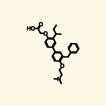 CCC(C)c1cc(-c2ccc(OCCN(C)C)c(Cc3ccccc3)c2)ccc1OCC(=O)O